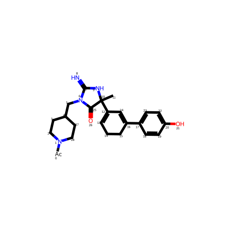 CC(=O)N1CCC(CN2C(=N)NC(C)(C3=CCCC(c4ccc(O)cc4)=C3)C2=O)CC1